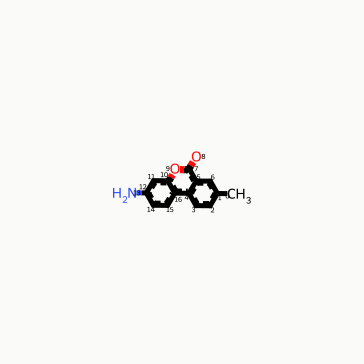 Cc1ccc2c(c1)c(=O)oc1cc(N)ccc12